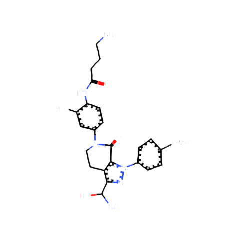 COc1ccc(-n2nc(C(N)O)c3c2C(=O)N(c2ccc(NC(=O)CCCN)c(C)c2)CC3)cc1